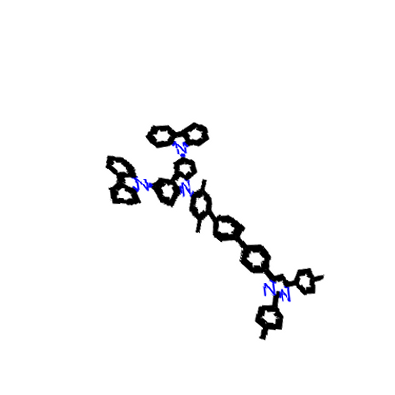 Cc1ccc(-c2cc(-c3ccc(-c4ccc(-c5cc(C)c(-n6c7ccc(-n8c9ccccc9c9ccccc98)cc7c7cc(-n8c9ccccc9c9ccccc98)ccc76)cc5C)cc4)cc3)nc(-c3ccc(C)cc3)n2)cc1